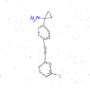 NC1(c2ccc(C#Cc3cccc(I)c3)cc2)CC1